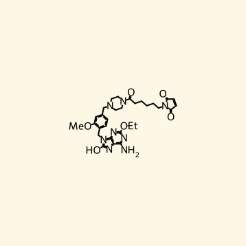 CCOc1nc(N)c2nc(O)n(Cc3ccc(CN4CCN(C(=O)CCCCCN5C(=O)C=CC5=O)CC4)cc3OC)c2n1